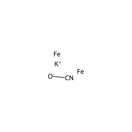 N#C[O-].[Fe].[Fe].[K+]